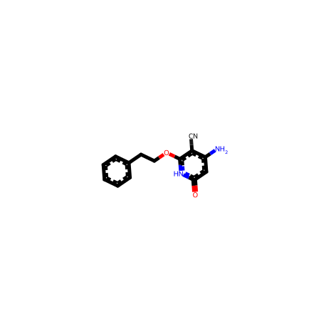 N#Cc1c(N)cc(=O)[nH]c1OCCc1ccccc1